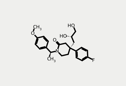 COc1ccc([C@H](C)N2CC[C@](C[C@H](O)CO)(c3ccc(F)cc3)CC2=O)cc1